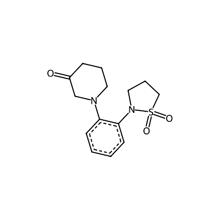 O=C1CCCN(c2ccccc2N2CCCS2(=O)=O)C1